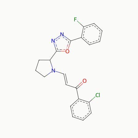 O=C(C=CN1CCCC1c1nnc(-c2ccccc2F)o1)c1ccccc1Cl